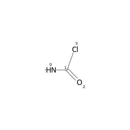 [NH]C(=O)Cl